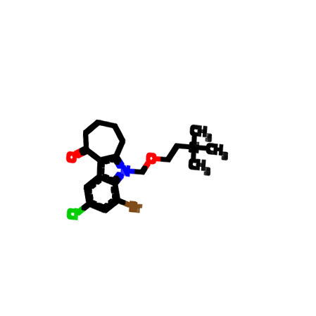 C[Si](C)(C)CCOCn1c2c(c3cc(Cl)cc(Br)c31)C(=O)CCCC2